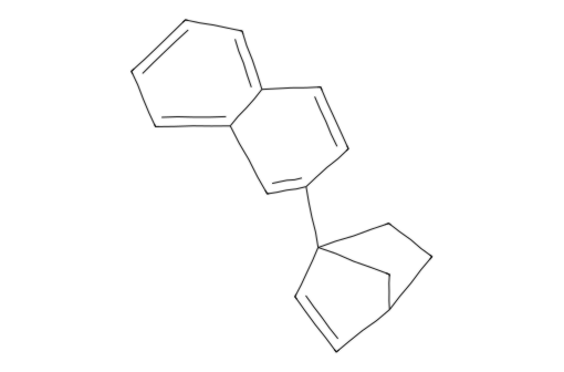 C1=CC2(c3ccc4ccccc4c3)CCC1C2